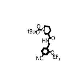 CC(C)(C)OC(=O)N1CCCC(C(=O)NCc2ccc(C#N)cc2OC(F)(F)F)C1